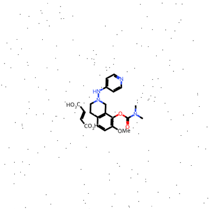 COc1ccc2c(c1OC(=O)N(C)C)CN(Nc1ccncc1)CC2.O=C(O)/C=C/C(=O)O